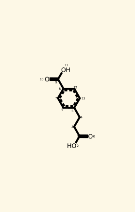 O=C(O)CCc1ccc(C(=O)O)cc1